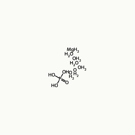 O.O.O.O.O.O.O=P(O)(O)O.[MgH2]